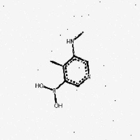 CNc1cncc(B(O)O)c1C